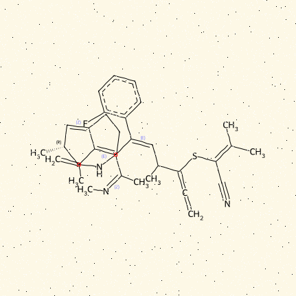 C=C=C(SC(C#N)=C(C)C)C(C)\C=C(C(/C(C)=N\C)=C(C(=C)C)\C1=C/[C@@H](C)CNCCC1)\c1ccccc1F